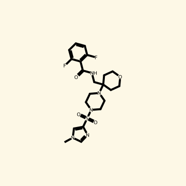 Cn1cnc(S(=O)(=O)N2CCN(C3(CNC(=O)c4c(F)cccc4F)CCOCC3)CC2)c1